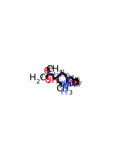 C=C(O)/C(=C\CC1=C/C(C)NC(O)/C(=C\c2ccc[nH]2)C/C=C\1)OC